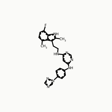 Cc1[nH]c2c(F)ccc(C)c2c1CCNc1cc(Nc2ccc(-n3cncn3)cc2)ncn1